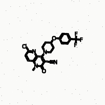 Cn1c(=O)c(C#N)c(N2CCC(Oc3ccc(C(F)(F)F)cc3)CC2)c2nc(Cl)ccc21